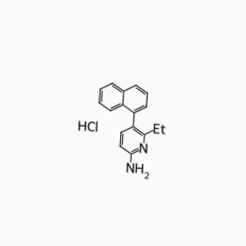 CCc1nc(N)ccc1-c1cccc2ccccc12.Cl